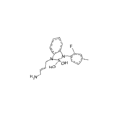 Cc1ccc(N2c3ccccc3N(CC=CCN)S2(O)O)c(F)c1